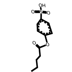 CCCCC(=O)Oc1ccc(S(=O)(=O)O)cc1